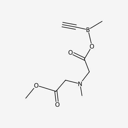 C#CB(C)OC(=O)CN(C)CC(=O)OC